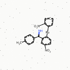 Cc1ccc(C(=N)c2cc([N+](=O)[O-])cc[c]2[Ru][c]2ccccc2[N+](=O)[O-])cc1